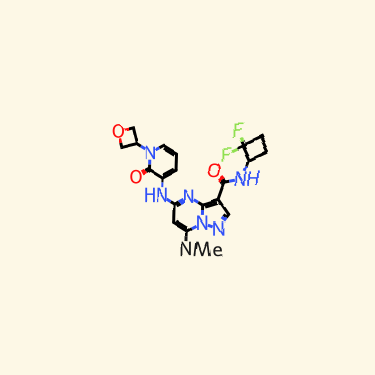 CNc1cc(Nc2cccn(C3COC3)c2=O)nc2c(C(=O)NC3CCC3(F)F)cnn12